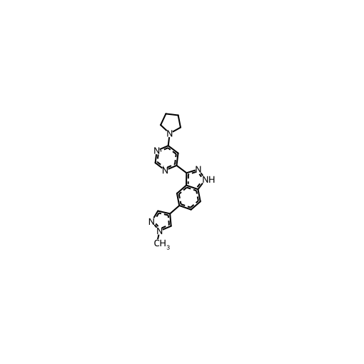 Cn1cc(-c2ccc3[nH]nc(-c4cc(N5CCCC5)ncn4)c3c2)cn1